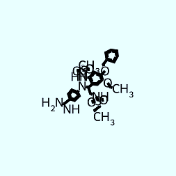 CCCS(=O)(=O)NCC(Nc1ccc(C(=N)N)cc1)c1cc(OCC)c(OCc2ccccc2)cc1NS(C)(=O)=O